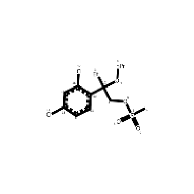 CCCOC(CC)(COS(C)(=O)=O)c1ccc(Cl)cc1Cl